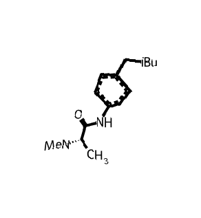 CCC(C)Cc1ccc(NC(=O)[C@H](C)NC)cc1